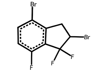 Fc1ccc(Br)c2c1C(F)(F)C(Br)C2